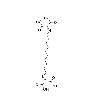 O=C(O)C(=NCCCCCCCCCCN=C(C(=O)O)C(=O)O)C(=O)O